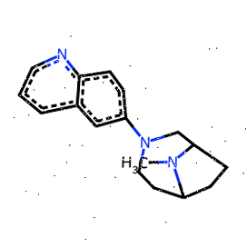 CN1C2CCC1CN(c1ccc3ncccc3c1)CC2